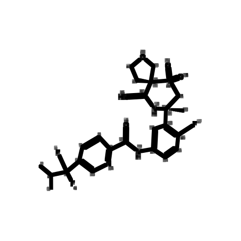 CC(C)C(F)(F)c1ccc(C(=O)Nc2ccc(F)c([C@]3(C)CS(=O)(=O)[C@]4(CCOC4)C(=N)N3)c2)nc1